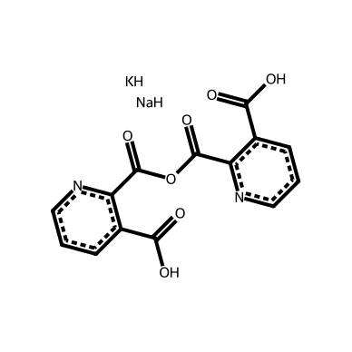 O=C(O)c1cccnc1C(=O)OC(=O)c1ncccc1C(=O)O.[KH].[NaH]